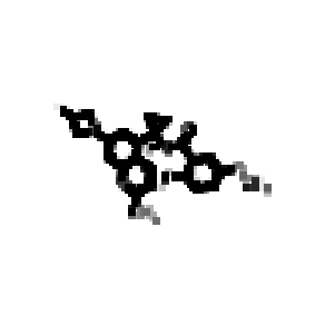 COc1ccc(C)c(C(=O)NC2(c3cc(N4CC(F)C4)cc4nc(C)ccc34)CC2)c1